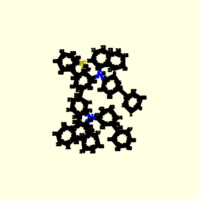 c1ccc(-c2ccc(N(c3cccc4ccccc34)c3cc(-c4ccc5c6c7ccccc7c7ccccc7c6n(-c6cccc(-c7ccccc7)c6)c5c4)cc4c3sc3ccccc34)cc2)cc1